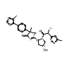 Cc1cc(C(C(=O)N2C[C@H](O)C[C@H]2C2=NC(=O)C(C)(c3ccc(-c4scnc4C)cc3)N2)C(C)C)sn1